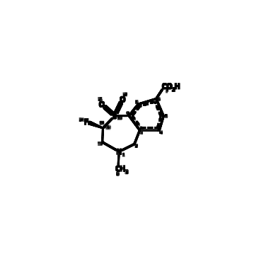 CN1Cc2ccc(C(=O)O)cc2S(=O)(=O)[C@H](F)C1